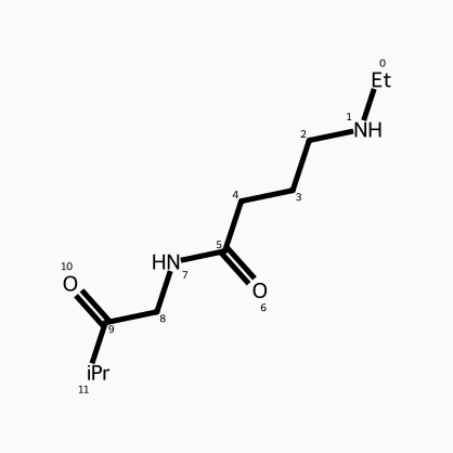 CCNCCCC(=O)NCC(=O)C(C)C